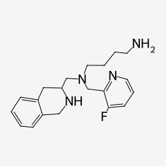 NCCCCN(Cc1ncccc1F)CC1Cc2ccccc2CN1